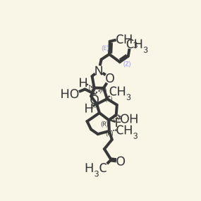 C/C=C\C(=C/C)CN1C[C@@H]2C[C@H]3C4CCC[C@](C)(CCC(C)=O)[C@@]4(F)[C@@H](O)C[C@]3(C)[C@]2(C(=O)CO)O1